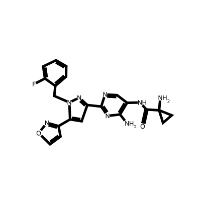 Nc1nc(-c2cc(-c3ccon3)n(Cc3ccccc3F)n2)ncc1NC(=O)C1(N)CC1